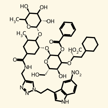 CC1O[C@@H](OC2[C@H](C)CC(C(=O)NCc3cn(CCc4c[nH]c5ccc([N+](=O)[O-])cc45)nn3)C[C@H]2O[C@@H]2O[C@@H](CO)[C@H](O)C(O[C@@H](CC3CCCCC3)C(=O)O)C2OC(=O)c2ccccc2)[C@@H](O)C(O)[C@@H]1O